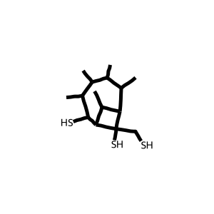 CC1C(C)C(C)C2C(C)C(C(S)C1C)C2(S)CS